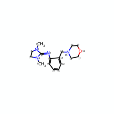 CN1CCN(C)C1=Nc1ccccc1CN1CCOCC1